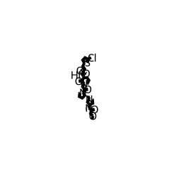 COCC(=O)N(C)C1CCN(C[C@@H]2CCCN2C(=O)CN2CCC[C@H](NS(=O)(=O)/C=C/c3ccc(Cl)s3)C2=O)C1